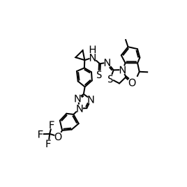 Cc1ccc(C(C)C)c(N2C(=O)CS/C2=N\C(=S)NC2(c3ccc(-c4ncn(-c5ccc(OC(F)(F)F)cc5)n4)cc3)CC2)c1